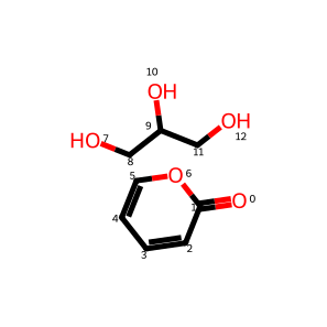 O=c1cccco1.OCC(O)CO